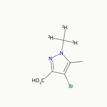 [2H]C([2H])([2H])n1nc(C(=O)O)c(Br)c1C